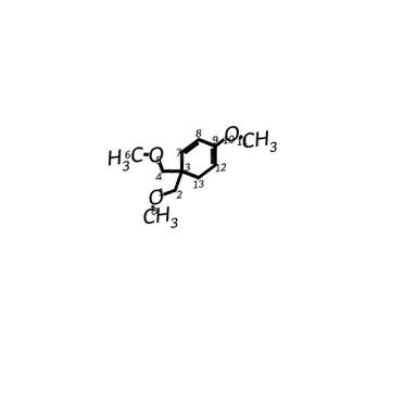 COCC1(COC)C=CC(OC)=CC1